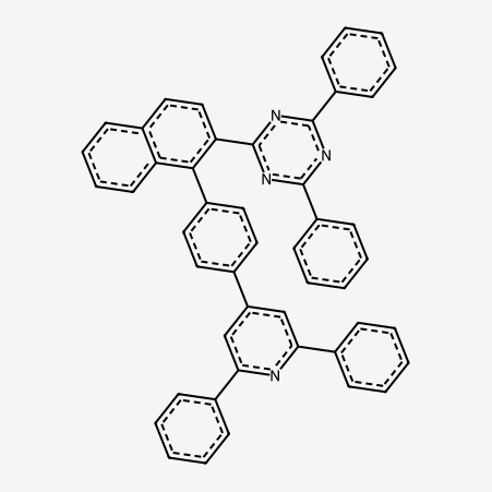 c1ccc(-c2cc(-c3ccc(-c4c(-c5nc(-c6ccccc6)nc(-c6ccccc6)n5)ccc5ccccc45)cc3)cc(-c3ccccc3)n2)cc1